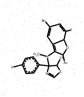 CC(=O)C1OC2C(F)=CC(Br)=CC2=C1N(C)C1(c2ccc(F)cc2)N=CSC1C#N